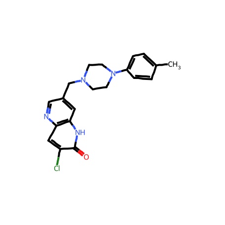 Cc1ccc(N2CCN(Cc3cnc4cc(Cl)c(=O)[nH]c4c3)CC2)cc1